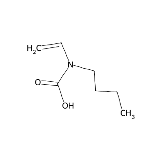 C=CN(CCCC)C(=O)O